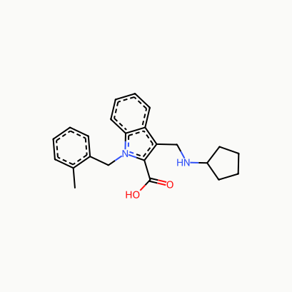 Cc1ccccc1Cn1c(C(=O)O)c(CNC2CCCC2)c2ccccc21